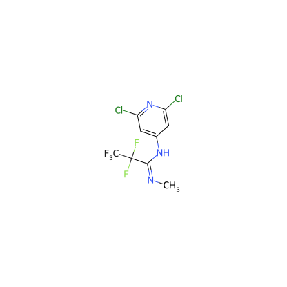 C/N=C(\Nc1cc(Cl)nc(Cl)c1)C(F)(F)C(F)(F)F